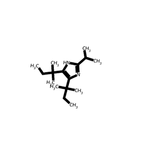 CCC(C)(C)c1nc(C(C)C)[nH]c1C(C)(C)CC